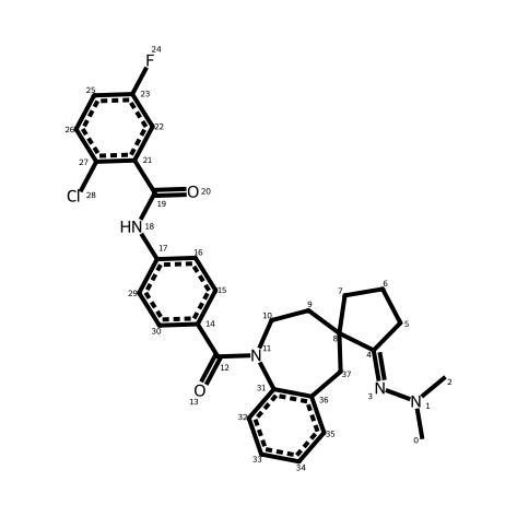 CN(C)N=C1CCCC12CCN(C(=O)c1ccc(NC(=O)c3cc(F)ccc3Cl)cc1)c1ccccc1C2